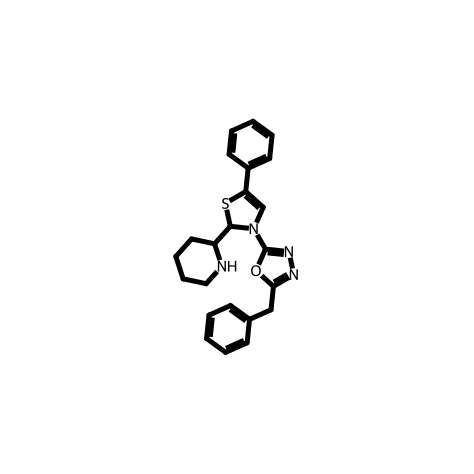 C1=C(c2ccccc2)SC(C2CCCCN2)N1c1nnc(Cc2ccccc2)o1